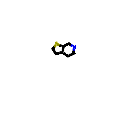 [c]1cc2ccsc2cn1